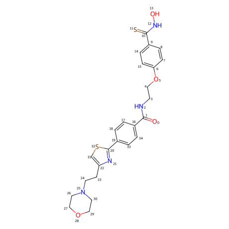 O=C(NCCOc1ccc(C(=S)NO)cc1)c1ccc(-c2nc(CCN3CCOCC3)cs2)cc1